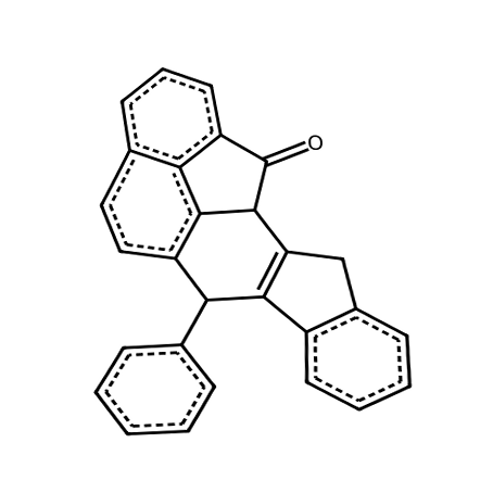 O=C1c2cccc3ccc4c(c23)C1C1=C(c2ccccc2C1)C4c1ccccc1